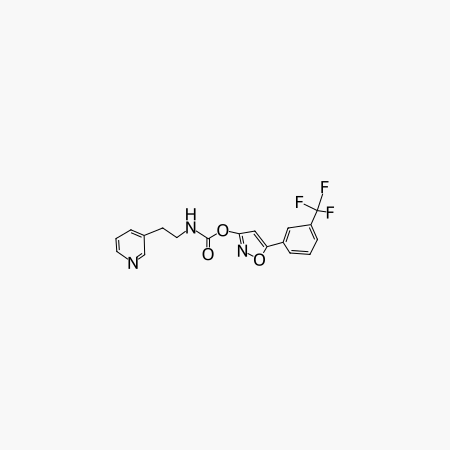 O=C(NCCc1cccnc1)Oc1cc(-c2cccc(C(F)(F)F)c2)on1